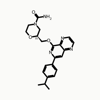 CC(C)c1ccc(-c2cc3nccnc3c(OC[C@@H]3CN(C(N)=O)CCO3)n2)cc1